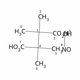 CC(C)(C(=O)O)C(C)(C)C(=O)O.O=NO